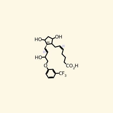 O=C(O)CCC/C=C\CC1C(O)CC(O)[C@@H]1/C=C/C(O)COc1cccc(C(F)(F)F)c1